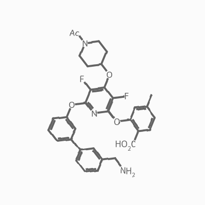 CC(=O)N1CCC(Oc2c(F)c(Oc3cccc(-c4cccc(CN)c4)c3)nc(Oc3cc(C)ccc3C(=O)O)c2F)CC1